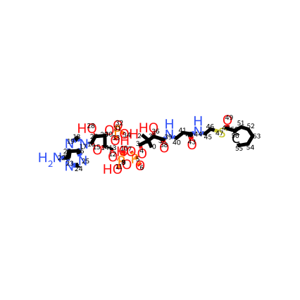 CC(C)(COP(=O)(O)OP(=O)(O)OC[C@H]1O[C@@H](n2cnc3c(N)ncnc32)[C@H](O)[C@@H]1OP(=O)(O)O)C(O)C(=O)NCCC(=O)NCCSC(=O)C1CCCCCC1